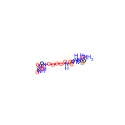 NC(=O)c1c(F)cccc1Nc1nc(NC2CCN(S(=O)(=O)CCNC(=O)CCOCCOCCOCCOCCNc3cccc4c3C(=O)N(C3CCC(=O)NC3=O)C4=O)CC2)ncc1Br